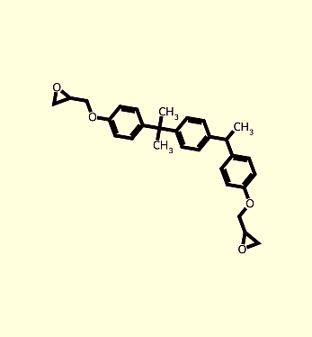 CC(c1ccc(OCC2CO2)cc1)c1ccc(C(C)(C)c2ccc(OCC3CO3)cc2)cc1